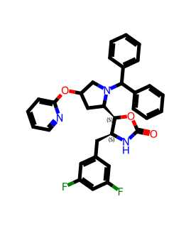 O=C1N[C@@H](Cc2cc(F)cc(F)c2)[C@@H](C2CC(Oc3ccccn3)CN2C(c2ccccc2)c2ccccc2)O1